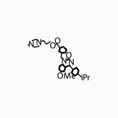 COc1ccc2c(c1)c(-c1ccc(C(C)C)cc1)nc(=O)n2Cc1cccc(C(=O)OCCCN2CCN(C)CC2)c1